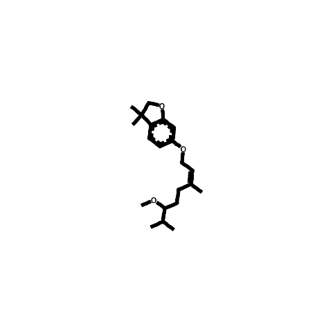 COC(CCC(C)=CCOc1ccc2c(c1)OCC2(C)C)C(C)C